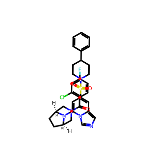 O=C(c1ccc(F)cc1Cl)N1C[C@H]2CC[C@@H](C1)N2c1cc(S(=O)(=O)N2CCC(c3ccccc3)CC2)cc2cncn12